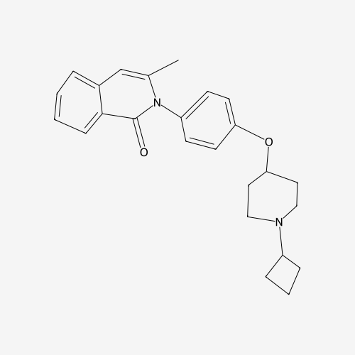 Cc1cc2ccccc2c(=O)n1-c1ccc(OC2CCN(C3CCC3)CC2)cc1